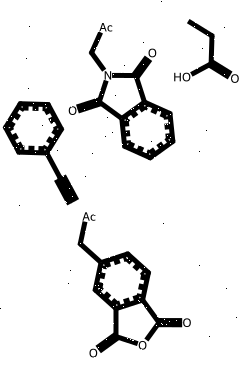 C#Cc1ccccc1.CC(=O)CN1C(=O)c2ccccc2C1=O.CC(=O)Cc1ccc2c(c1)C(=O)OC2=O.CCC(=O)O